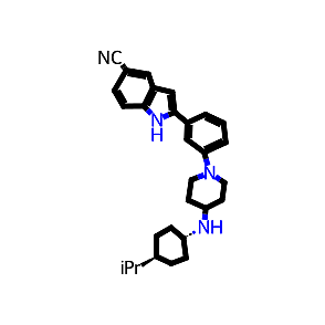 CC(C)[C@H]1CC[C@H](NC2CCN(c3cccc(-c4cc5cc(C#N)ccc5[nH]4)c3)CC2)CC1